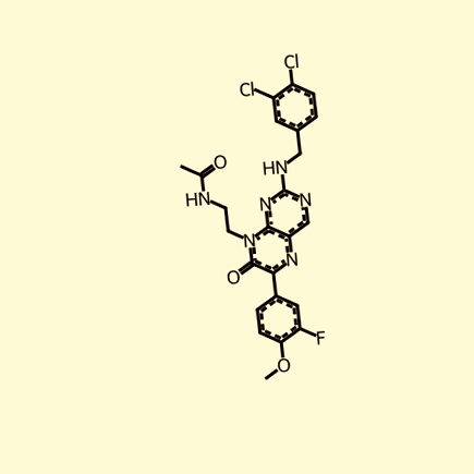 COc1ccc(-c2nc3cnc(NCc4ccc(Cl)c(Cl)c4)nc3n(CCNC(C)=O)c2=O)cc1F